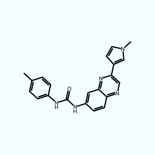 Cc1ccc(NC(=O)Nc2ccc3ncc(-c4ccn(C)c4)nc3c2)cc1